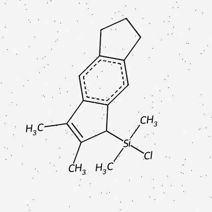 CC1=C(C)C([Si](C)(C)Cl)c2cc3c(cc21)CCC3